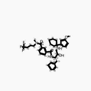 COc1cccc(C2(NC[C@@H](O)[C@H](Cc3ccccc3)NC(=O)c3cccc(C(=O)N(C)CCCC(F)(F)F)c3)CCCCC2)c1